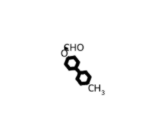 CC1CCC(C2CCC(OC=O)CC2)CC1